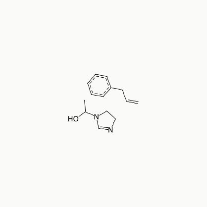 C=CCc1ccccc1.CC(O)N1C=NCC1